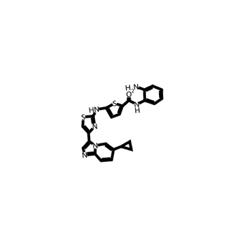 Nc1ccccc1NC(=O)c1ccc(Nc2nc(-c3cnc4ccc(C5CC5)cn34)cs2)s1